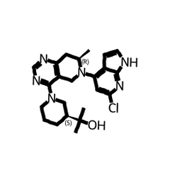 C[C@@H]1Cc2ncnc(N3CCC[C@H](C(C)(C)O)C3)c2CN1c1cc(Cl)nc2[nH]ccc12